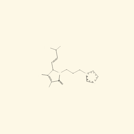 CC1=C(O)C(=O)N(CCCn2ccnc2)C1C=CC(C)C